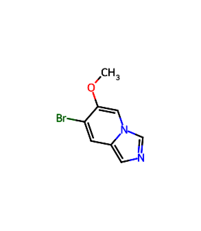 COc1cn2cncc2cc1Br